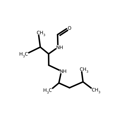 CC(C)CC(C)NCC(NC=O)C(C)C